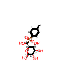 Cc1ccc(S(=O)(=O)C(O)[C@H]2OC(O)[C@H](O)[C@@H](O)[C@H]2O)cc1